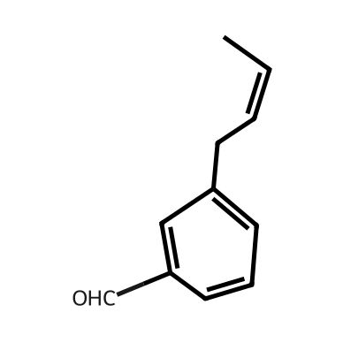 C/C=C\Cc1cccc(C=O)c1